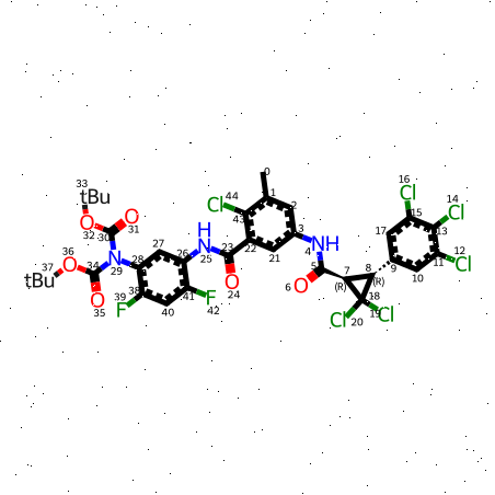 Cc1cc(NC(=O)[C@H]2[C@H](c3cc(Cl)c(Cl)c(Cl)c3)C2(Cl)Cl)cc(C(=O)Nc2cc(N(C(=O)OC(C)(C)C)C(=O)OC(C)(C)C)c(F)cc2F)c1Cl